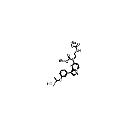 CC(Oc1cccc(-c2cnn3ccc(N(CCNC(=O)OC(C)(C)C)C(=O)OC(C)(C)C)nc23)c1)C(=O)O